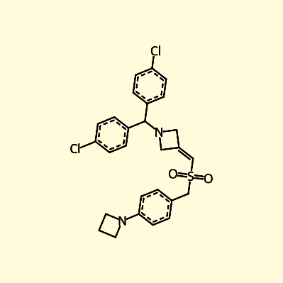 O=S(=O)(C=C1CN(C(c2ccc(Cl)cc2)c2ccc(Cl)cc2)C1)Cc1ccc(N2CCC2)cc1